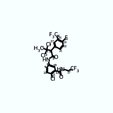 CC(Cl)(Cl)C(C(=O)Nc1ccc(Cl)c(C(=O)NCC(F)(F)F)c1)c1ccc(F)c(C(F)(F)F)c1